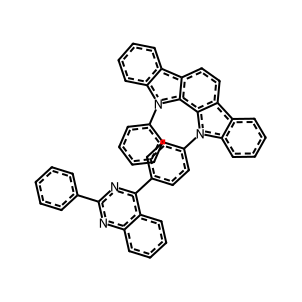 c1ccc(-c2nc(-c3ccc(-n4c5ccccc5c5ccc6c7ccccc7n(-c7ccccc7)c6c54)cc3)c3ccccc3n2)cc1